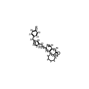 CN1C(=O)[C@H]2CCCCCN2c2nc(NCc3cnn(Cc4ccc(F)cc4)c3)ncc21